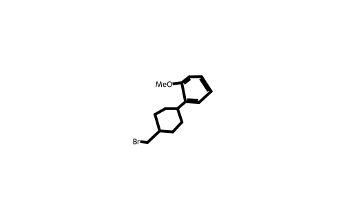 COc1ccccc1C1CCC(CBr)CC1